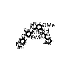 COc1cc2ncnc(Nc3cc(C)c(Oc4ccn5ccnc5c4)cc3OC)c2cc1NC(=O)C(F)=CC1CCCN1C